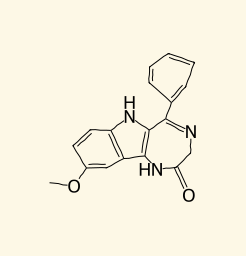 COc1ccc2[nH]c3c(c2c1)NC(=O)CN=C3c1ccccc1